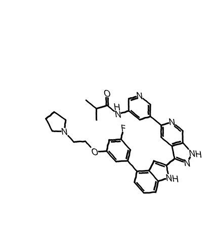 CC(C)C(=O)Nc1cncc(-c2cc3c(-c4cc5c(-c6cc(F)cc(OCCN7CCCC7)c6)cccc5[nH]4)n[nH]c3cn2)c1